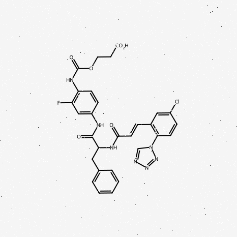 O=C(O)CCOC(=O)Nc1ccc(NC(=O)C(Cc2ccccc2)NC(=O)C=Cc2cc(Cl)ccc2-n2cnnn2)cc1F